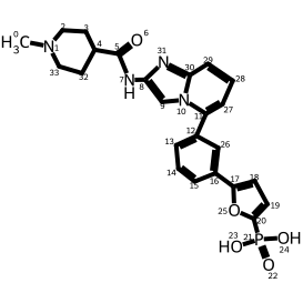 CN1CCC(C(=O)Nc2cn3c(-c4cccc(-c5ccc(P(=O)(O)O)o5)c4)cccc3n2)CC1